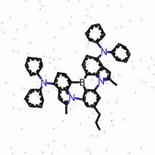 CCCc1cc2c3c(c1)-n1c(C)cc4c(N(c5ccccc5)c5ccccc5)ccc(c41)B3c1ccc(N(c3ccccc3)c3ccccc3)c3cc(C)n-2c13